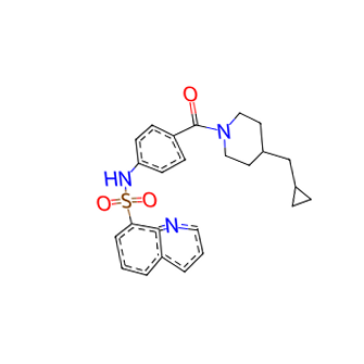 O=C(c1ccc(NS(=O)(=O)c2cccc3cccnc23)cc1)N1CCC(CC2CC2)CC1